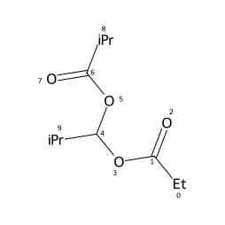 CCC(=O)OC(OC(=O)C(C)C)C(C)C